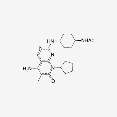 CC(=O)N[C@H]1CC[C@H](Nc2ncc3c(N)c(C)c(=O)n(C4CCCC4)c3n2)CC1